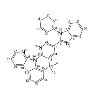 CC1(C)c2cc(-c3nc4ccccc4n3C3=CCCC=C3)cnc2-n2c3ncccc3c3cccc1c32